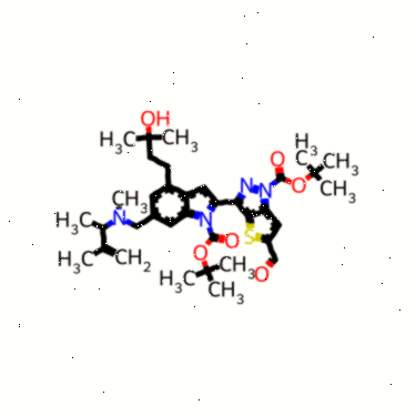 C=C(C)C(C)N(C)Cc1cc(CCC(C)(C)O)c2cc(-c3nn(C(=O)OC(C)(C)C)c4cc(C=O)sc34)n(C(=O)OC(C)(C)C)c2c1